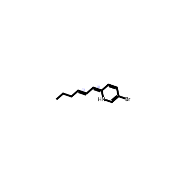 CCC/C=C/C=C1/C=CC(Br)=CN1